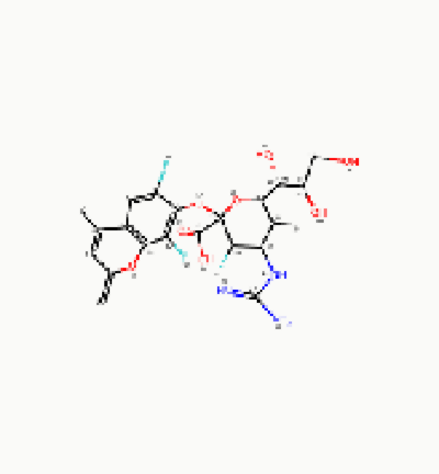 C=C1C=C(C)c2cc(F)c(OC3(C(=O)O)OC([C@H](O)[C@H](O)CO)C(C)C(NC(=N)N)C3F)c(F)c2O1